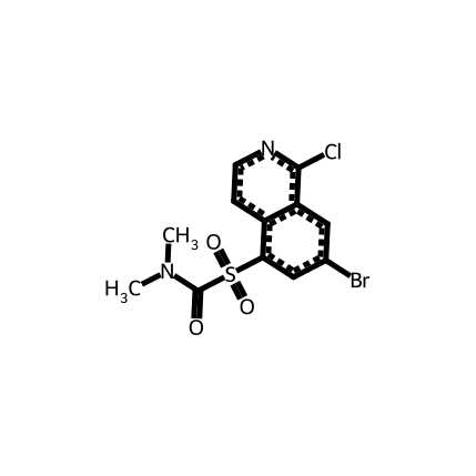 CN(C)C(=O)S(=O)(=O)c1cc(Br)cc2c(Cl)nccc12